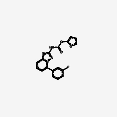 O=C(Nc1nc2cccc(-c3cccc(F)c3)n2n1)Oc1ccco1